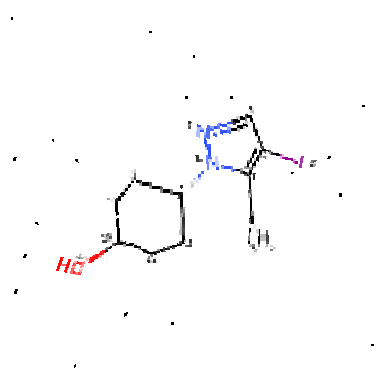 Cc1c(I)cnn1[C@H]1CC[C@H](O)CC1